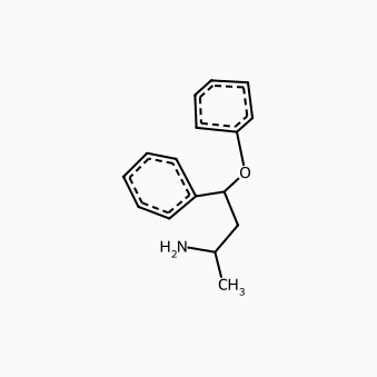 CC(N)CC(Oc1ccccc1)c1ccccc1